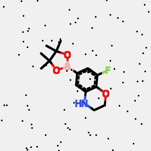 CC1(C)OB(c2cc(F)c3c(c2)NCCO3)OC1(C)C